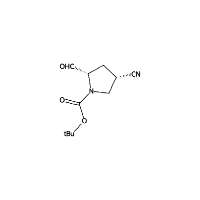 CC(C)(C)OC(=O)N1C[C@@H](C#N)C[C@H]1C=O